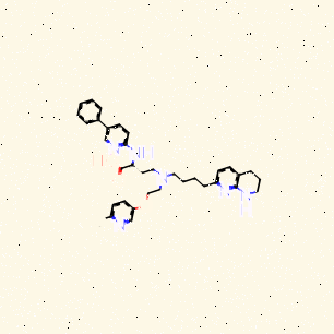 Cc1ccc(OCCN(CCCCc2ccc3c(n2)NCCC3)CC[C@H](Nc2ccc(-c3ccccc3)cn2)C(=O)O)cn1